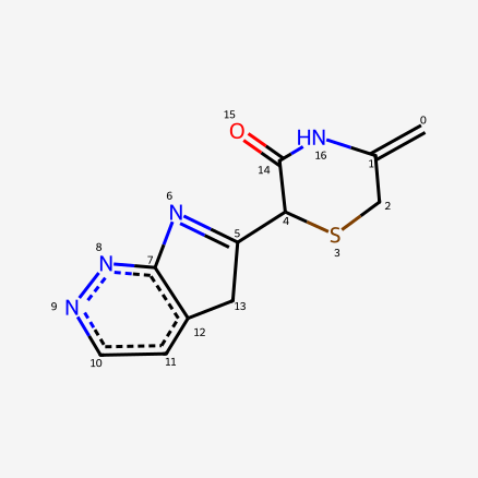 C=C1CSC(C2=Nc3nnccc3C2)C(=O)N1